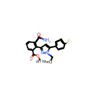 CCCOC(=O)c1cccc(C(N)=O)c1-c1cc(-c2ccc(F)cc2)n(COC)n1